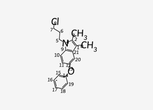 Cc1c(C)n(CCCCl)c2ccc(Oc3c[c]ccc3)cc12